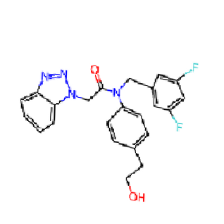 O=C(Cn1nnc2ccccc21)N(Cc1cc(F)cc(F)c1)c1ccc(CCO)cc1